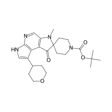 CN1c2cnc3[nH]cc(C4CCOCC4)c3c2C(=O)C12CCN(C(=O)OC(C)(C)C)CC2